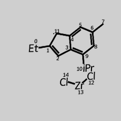 CCC1=Cc2c(cc(C)cc2C(C)C)[CH]1.[Cl][Zr][Cl]